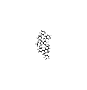 c1ccc(-n2c3c(c4ccccc42)-c2ccccc2N(c2cccc(-c4cccc(-c5c6ccccc6nc6c5oc5ccccc56)c4)c2)c2ccccc2-3)cc1